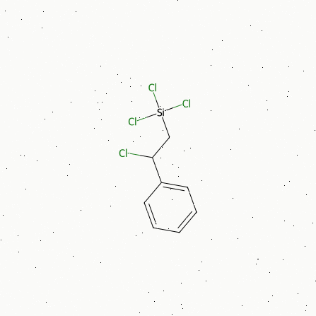 ClC(C[Si](Cl)(Cl)Cl)c1ccccc1